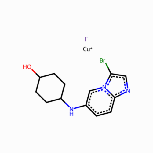 OC1CCC(Nc2ccc3ncc(Br)n3c2)CC1.[Cu+].[I-]